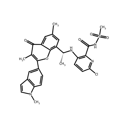 Cc1cc([C@@H](C)Nc2ccc(Cl)nc2C(=O)NS(C)(=O)=O)c2oc(-c3ccc4c(ccn4C)c3)c(C)c(=O)c2c1